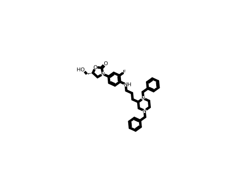 O=C1O[C@@H](CO)CN1c1ccc(NCCCC2CN(Cc3ccccc3)CCN2Cc2ccccc2)c(F)c1